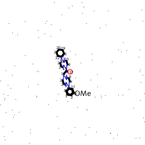 COc1cccc(N2CCN(CC(=O)N3CCN(C4CCCCC4)CC3)CC2)c1